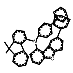 CC1(C)c2ccccc2-c2c(N(c3ccc(-c4ccccc4)cc3)c3cccc4oc5ccc(-c6ccccc6)cc5c34)cccc21